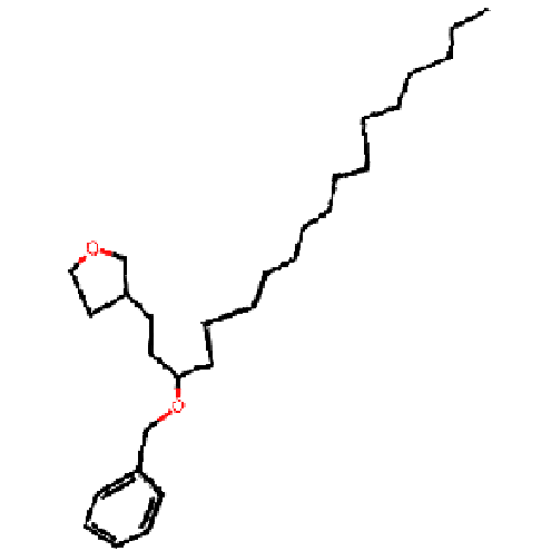 CCCCCCCCCCCCCCCC(CCC1CCOC1)OCc1ccccc1